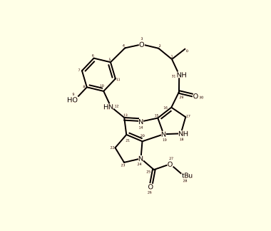 CC1COCc2ccc(O)c(c2)NC2=NC3=C(CNN3C3=C2CCN3C(=O)OC(C)(C)C)C(=O)N1